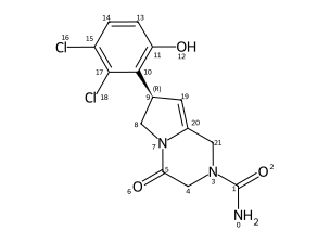 NC(=O)N1CC(=O)N2C[C@@H](c3c(O)ccc(Cl)c3Cl)C=C2C1